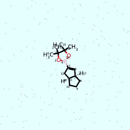 CC1(C)OB(C2=C[C@H]3CCC[C@H]3C2)OC1(C)C